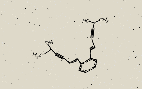 CC(O)C#CC=Cc1[c]cccc1C=CC#CC(C)O